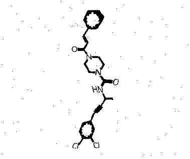 CC(C#Cc1ccc(Cl)c(Cl)c1)NC(=O)N1CCN(C(=O)/C=C/c2cc#ccc2)CC1